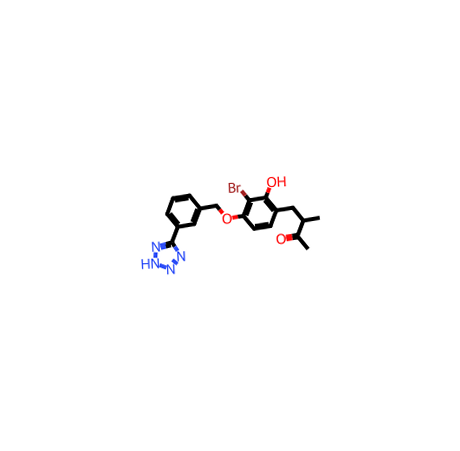 CC(=O)C(C)Cc1ccc(OCc2cccc(-c3nn[nH]n3)c2)c(Br)c1O